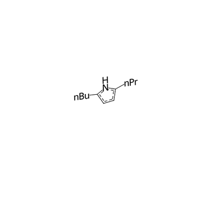 CCCCc1ccc(CCC)[nH]1